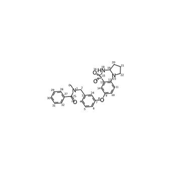 CN(Cc1cccc(Oc2ccc3c(c2)S(=O)(=O)NC2CCCN32)c1)C(=O)c1ccccc1